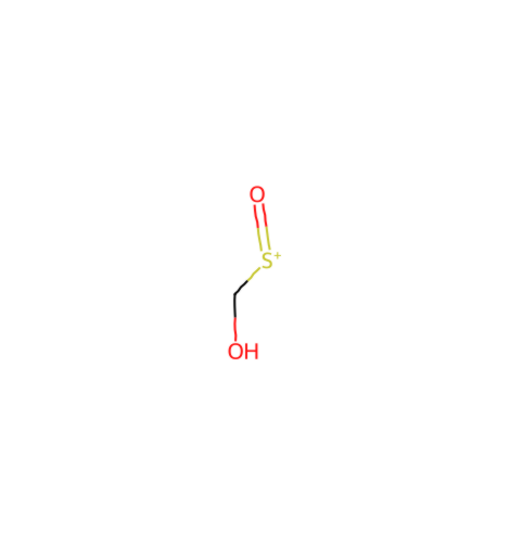 O=[S+]CO